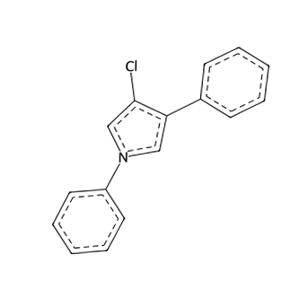 Clc1cn(-c2ccccc2)cc1-c1ccccc1